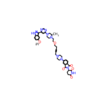 CC(C)Oc1ccc2[nH]nc(-c3cc(N4CCN(CCOCCC#CCN5CCN(c6ccc7c(c6)C(=O)N(C6CCC(=O)NC6=O)C7=O)CC5)[C@@H](C)C4)ncn3)c2c1